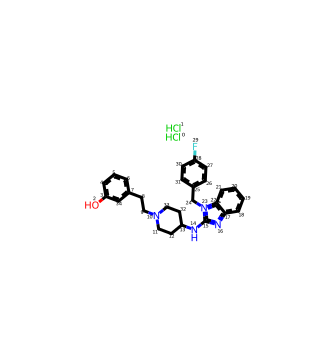 Cl.Cl.Oc1cccc(CCN2CCC(Nc3nc4ccccc4n3Cc3ccc(F)cc3)CC2)c1